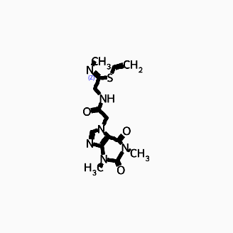 C=CS/C(CNC(=O)Cn1cnc2c1c(=O)n(C)c(=O)n2C)=N\C